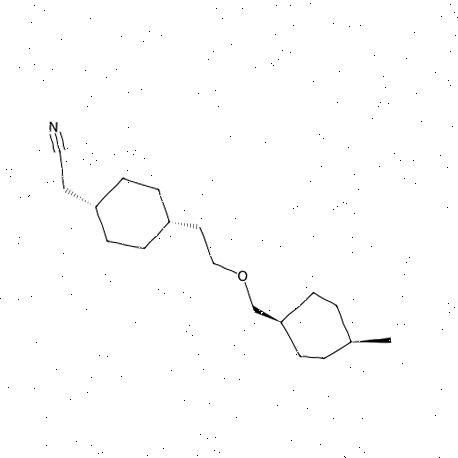 C[C@H]1CC[C@@H](COCC[C@H]2CC[C@@H](CC#N)CC2)CC1